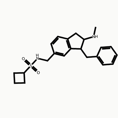 CNC1Cc2ccc(CNS(=O)(=O)C3CCC3)cc2C1Cc1ccccc1